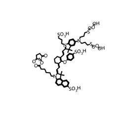 CC1(C)C(/C=C/C2=C(Oc3ccc(S(=O)(=O)O)cc3)C(=C/C=C3/N(CCCCCC(=O)ON4C(=O)CCC4=O)c4ccc5cc(S(=O)(=O)O)ccc5c4C3(C)C)/CCC2)=[N+](CCCS(=O)(=O)O)c2ccc(N(CCCSOOO)CCCSOOO)cc21